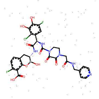 O=C(CN1CCN(C(=O)N[C@@H](C(=O)N[C@H]2Cc3ccc(F)c(C(=O)O)c3OB2O)c2cc(F)c(O)c(O)c2Cl)C(=O)C1=O)NCc1ccncc1